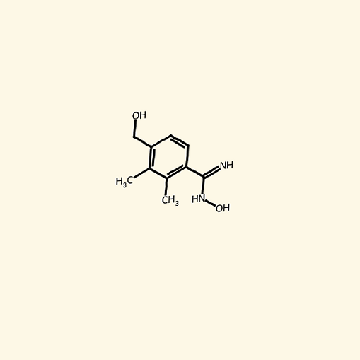 Cc1c(CO)ccc(C(=N)NO)c1C